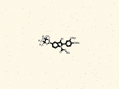 COc1ccc(-c2c(C(C)C)c3cc(B4OC(C)(C)C(C)(C)O4)ccc3n2C(=O)OC(C)(C)C)cc1OC